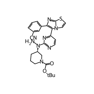 CC(C)(C)OC(=O)N1CCC[C@@H](N(N)c2nccc(-c3c(-c4cccc(C#N)c4)nc4sccn34)n2)C1